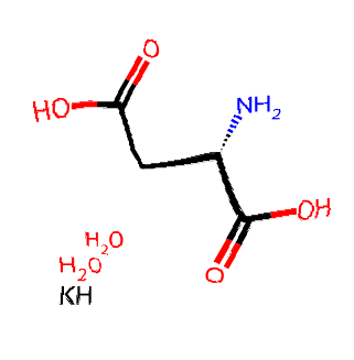 N[C@@H](CC(=O)O)C(=O)O.O.O.[KH]